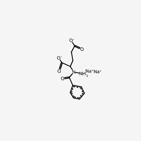 NN(C(=O)c1ccccc1)C(CCC(=O)[O-])C(=O)[O-].[Na+].[Na+]